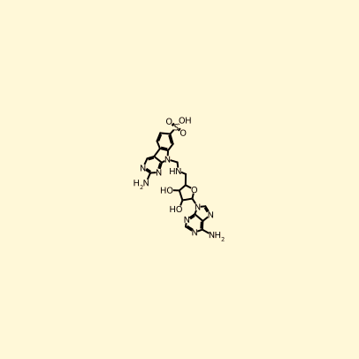 Nc1ncc2c3ccc(S(=O)(=O)O)cc3n(CNCC3OC(n4cnc5c(N)ncnc54)C(O)C3O)c2n1